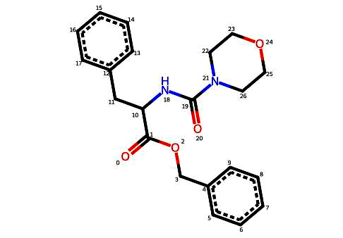 O=C(OCc1ccccc1)C(Cc1ccccc1)NC(=O)N1CCOCC1